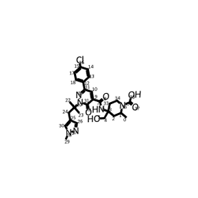 CC1CC(CO)(NC(=O)c2cc(-c3ccc(Cl)cc3)nn(C(C)(C)Cc3cnn(C)c3)c2=O)CCN1C(=O)O